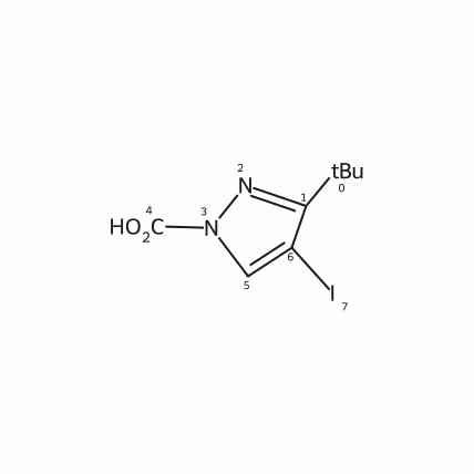 CC(C)(C)c1nn(C(=O)O)cc1I